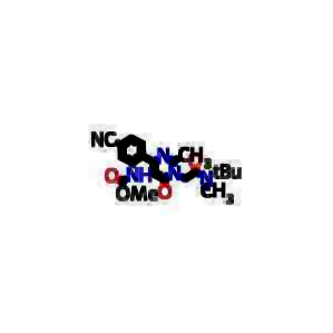 COC(=O)Nc1cc(C#N)ccc1-c1cc(=O)n(CC(=O)N(C)C(C)(C)C)c(C)n1